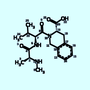 CN[C@@H](C)C(=O)N[C@H](C(=O)N1Cc2ccccc2C[C@H]1C(=O)O)C(C)C